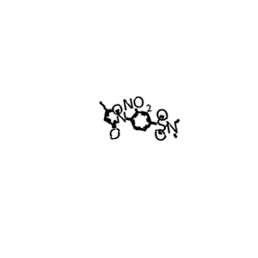 Cc1cc(=O)n(-c2ccc(S(=O)(=O)N(C)C)cc2[N+](=O)[O-])o1